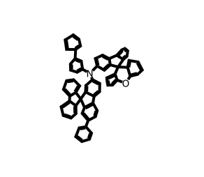 c1ccc(-c2cccc(N(c3ccc4c(c3)C3(c5ccccc5Oc5ccccc53)c3ccccc3-4)c3ccc4c(c3)C3(c5ccccc5-c5ccccc53)c3cc(-c5ccccc5)ccc3-4)c2)cc1